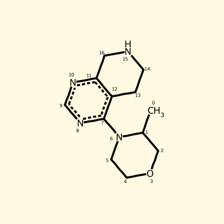 CC1COCCN1c1ncnc2c1CCNC2